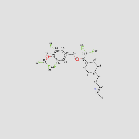 C/C=C/CCC1CCC(C(OCc2cc(F)c(OC(F)F)c(F)c2)C(F)F)CC1